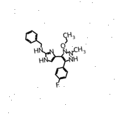 CCON1C(c2c[nH]c(NCc3ccccc3)n2)=C(c2ccc(F)cc2)NN1C